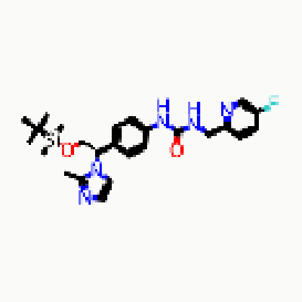 Cc1nccn1[C@@H](CO[Si](C)(C)C(C)(C)C)c1ccc(NC(=O)NCc2ccc(F)cn2)cc1